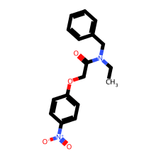 CCN(Cc1ccccc1)C(=O)COc1ccc([N+](=O)[O-])cc1